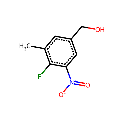 Cc1cc(CO)cc([N+](=O)[O-])c1F